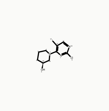 O[C@H]1CCCN(c2nc(Cl)ncc2I)C1